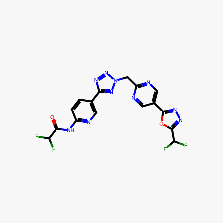 O=C(Nc1ccc(-c2nnn(Cc3ncc(-c4nnc(C(F)F)o4)cn3)n2)cn1)C(F)F